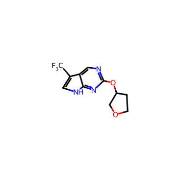 FC(F)(F)c1c[nH]c2nc(OC3CCOC3)ncc12